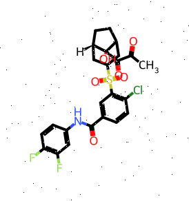 CC(=O)C(=O)[C@@]1(O)C2CC[C@H]1CC(S(=O)(=O)c1cc(C(=O)Nc3ccc(F)c(F)c3)ccc1Cl)C2